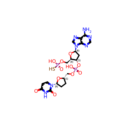 Nc1ncnc2c1ncn2[C@H]1C[C@H](OP(=O)(O)OC[C@@H]2CC[C@H](n3ccc(=O)[nH]c3=O)O2)[C@@H](COP(=O)(O)S)O1